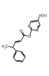 CCCCCCCCc1cnc(OC(=O)/C=C/C(C)c2ccccc2)nc1